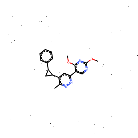 COc1ncc(-c2cc(C3CC3c3ccccc3)c(C)nn2)c(OC)n1